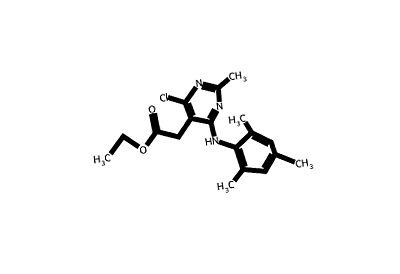 CCOC(=O)Cc1c(Cl)nc(C)nc1Nc1c(C)cc(C)cc1C